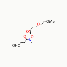 COCCOCCC1OC1ON(C)C(=O)CCC=O